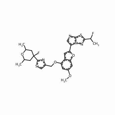 COc1cc(OCc2csc(C3(F)CC(C)OC(C)C3)n2)c2cc(-c3cnc4sc(C(C)F)nn34)oc2c1